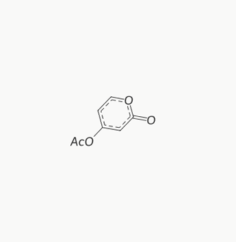 CC(=O)Oc1ccoc(=O)c1